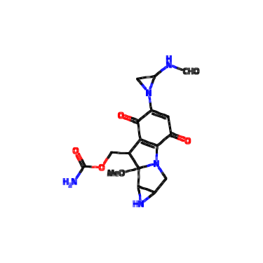 COC12C(COC(N)=O)C3=C(C(=O)C=C(N4CC4NC=O)C3=O)N1CC1NC12